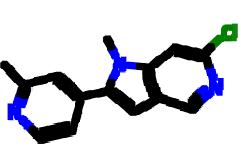 Cc1cc(-c2cc3cnc(Cl)cc3n2C)ccn1